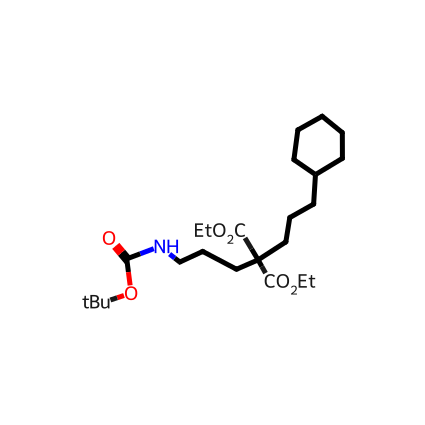 CCOC(=O)C(CCCNC(=O)OC(C)(C)C)(CCCC1CCCCC1)C(=O)OCC